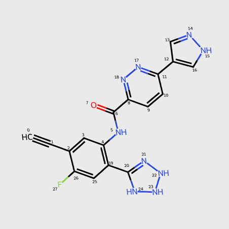 C#Cc1cc(NC(=O)c2ccc(-c3cn[nH]c3)nn2)c(C2=NNNN2)cc1F